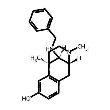 CN1CC[C@]2(C)c3cc(O)ccc3C[C@@H]1[C@@H]2NCc1ccccc1